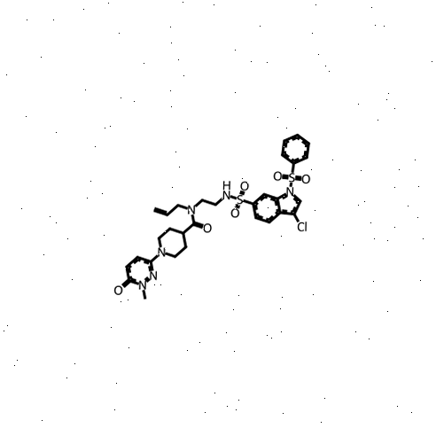 C=CCN(CCNS(=O)(=O)c1ccc2c(Cl)cn(S(=O)(=O)c3ccccc3)c2c1)C(=O)C1CCN(c2ccc(=O)n(C)n2)CC1